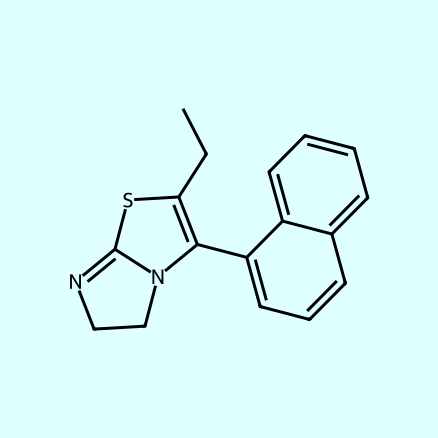 CCC1=C(c2cccc3ccccc23)N2CCN=C2S1